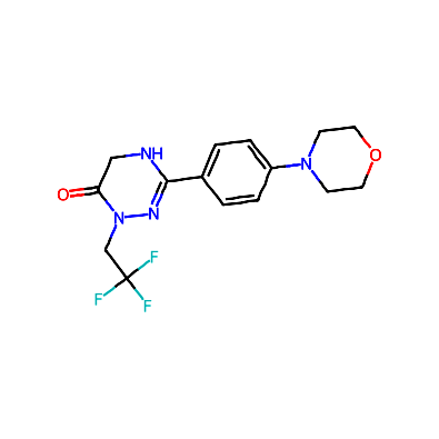 O=C1CNC(c2ccc(N3CCOCC3)cc2)=NN1CC(F)(F)F